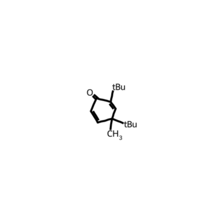 CC(C)(C)C1=CC(C)(C(C)(C)C)C=CC1=O